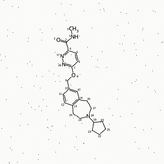 CNC(=O)c1ccc(OCc2ccc3c(c2)CCN(C2CCCC2)CC3)nn1